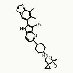 Cc1c(-c2[nH]c3ccc(C4CCC(NCC5(S(C)(=O)=O)CC5)CC4)nc3c2C(C)C)cn2ncnc2c1C